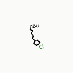 CCCC/C=C/C/C=C/c1ccc(Cl)cc1